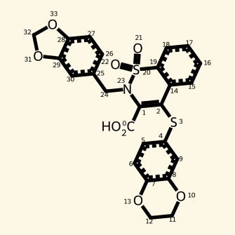 O=C(O)C1=C(Sc2ccc3c(c2)OCCO3)c2ccccc2S(=O)(=O)N1Cc1ccc2c(c1)OCO2